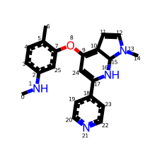 CNc1ccc(C)c(OC2=C3C=CN(C)C3NC(c3ccncc3)=C2)c1